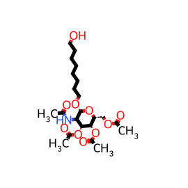 CC(=O)NC1[C@H](OCCCCCCCCO)O[C@H](COC(C)=O)[C@H](OC(C)=O)[C@@H]1OC(C)=O